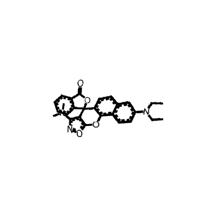 CCN(CC)c1ccc2c3c(ccc2c1)C1(OC(=O)c2ccccc21)c1c(N(C)C)noc1O3